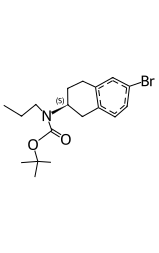 CCCN(C(=O)OC(C)(C)C)[C@H]1CCc2cc(Br)ccc2C1